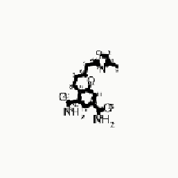 Cc1csc(CC2CCc3c(cc(C(N)=O)cc3C(N)=O)O2)n1